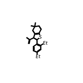 C=C(C)C1C2=C(CCC(C)(C)C2)SC1c1ccc(CC)cc1CC